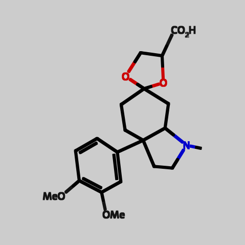 COc1ccc(C23CCN(C)C2CC2(CC3)OCC(C(=O)O)O2)cc1OC